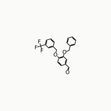 O=Cc1ccc(OCc2cccc(C(F)(F)F)c2)c(OCc2ccccc2)c1